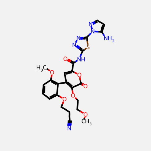 COCCOc1c(-c2c(OC)cccc2OCCC#N)cc(C(=O)Nc2nnc(-n3nccc3N)s2)oc1=O